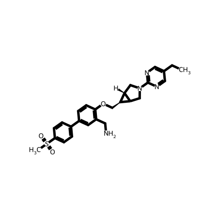 CCc1cnc(N2CC3[C@@H](COc4ccc(-c5ccc(S(C)(=O)=O)cc5)cc4CN)[C@@H]3C2)nc1